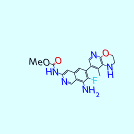 COC(=O)Nc1cc2cc(-c3cnc4c(c3C)NCCO4)c(F)c(N)c2cn1